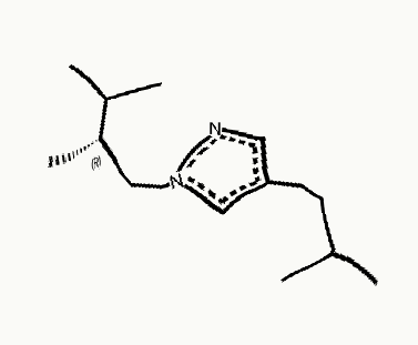 CC(C)Cc1cnn(C[C@H](C)C(C)C)c1